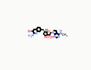 CNc1ncnc2c1ccn2[C@@H]1O[C@@H]2[C@H](Cc3ccc4cc(Br)c(N)nc4c3)CC[C@]2(O)[C@H]1O